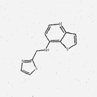 c1csc(CNc2ccnc3ccsc23)n1